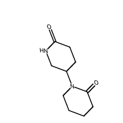 O=C1CCC(N2CCCCC2=O)CN1